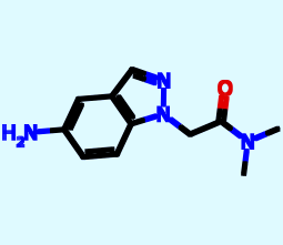 CN(C)C(=O)Cn1ncc2cc(N)ccc21